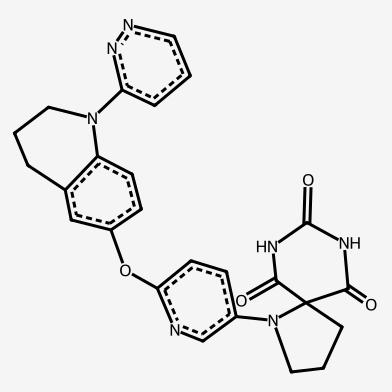 O=C1NC(=O)C2(CCCN2c2ccc(Oc3ccc4c(c3)CCCN4c3cccnn3)nc2)C(=O)N1